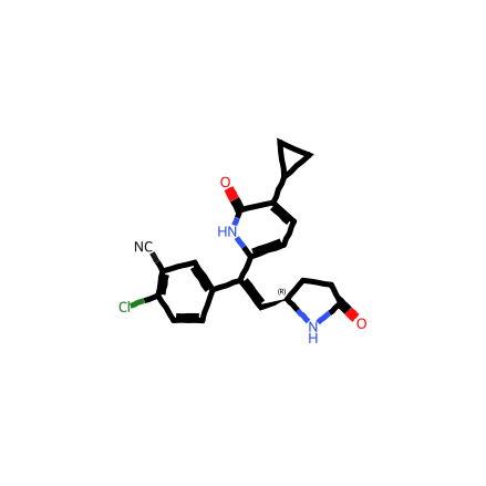 N#Cc1cc(C(=C[C@H]2CCC(=O)N2)c2ccc(C3CC3)c(=O)[nH]2)ccc1Cl